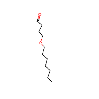 CCCCCCCOCCCC=O